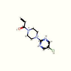 C=CC(=O)N1CCN(c2ncc(Cl)cn2)CC1